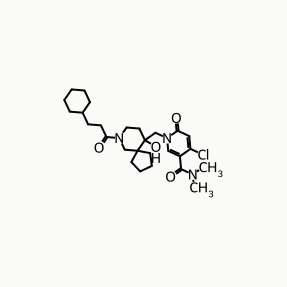 CN(C)C(=O)c1cn(CC2(O)CCN(C(=O)CCC3CCCCC3)CC23CCCC3)c(=O)cc1Cl